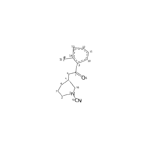 N#CN1CCCC(CC(=O)c2ccccc2F)C1